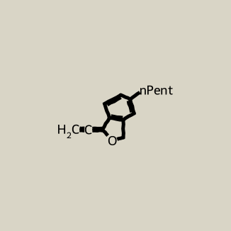 C=C=C1OCc2cc(CCCCC)ccc21